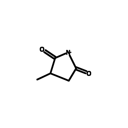 CC1CC(=O)[N]C1=O